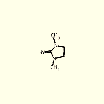 CN1CCN(C)C1=[N]